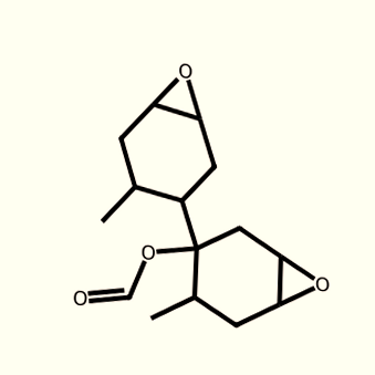 CC1CC2OC2CC1C1(OC=O)CC2OC2CC1C